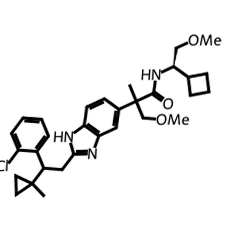 COC[C@H](NC(=O)C(C)(COC)c1ccc2[nH]c(CC(c3ccccc3Cl)C3(C)CC3)nc2c1)C1CCC1